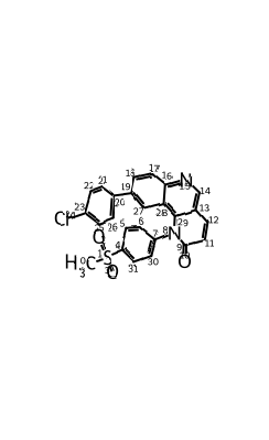 CS(=O)(=O)c1ccc(-n2c(=O)ccc3cnc4ccc(-c5ccc(Cl)cc5)cc4c32)cc1